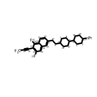 CCCC1CCC(C2CCC(CCc3ccc4c(F)c(C#CC(F)(F)F)c(F)cc4c3)CC2)CC1